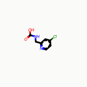 O=C(O)NCc1cc(Cl)ccn1